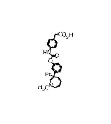 CCC1(c2cccc(OC(=O)Nc3ccc(CC(=O)O)cc3)c2)CCCCN(C)C1